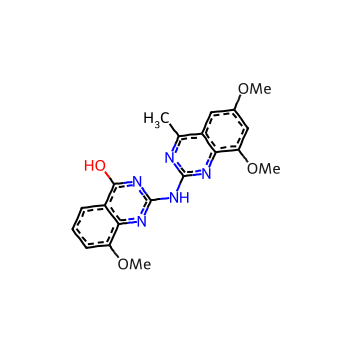 COc1cc(OC)c2nc(Nc3nc(O)c4cccc(OC)c4n3)nc(C)c2c1